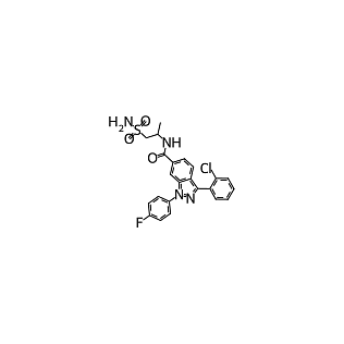 CC(CS(N)(=O)=O)NC(=O)c1ccc2c(-c3ccccc3Cl)nn(-c3ccc(F)cc3)c2c1